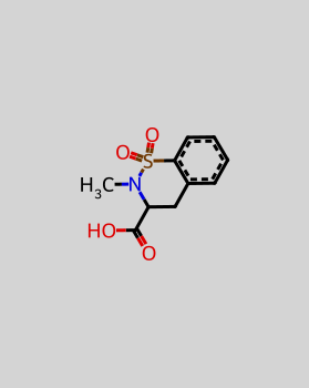 CN1C(C(=O)O)Cc2ccccc2S1(=O)=O